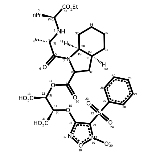 CCC[C@H](N[C@@H](C)C(=O)N1C(C(=O)O[C@H](C(=O)O)[C@@H](Oc2no[n+]([O-])c2S(=O)(=O)c2ccccc2)C(=O)O)C[C@@H]2CCCC[C@@H]21)C(=O)OCC